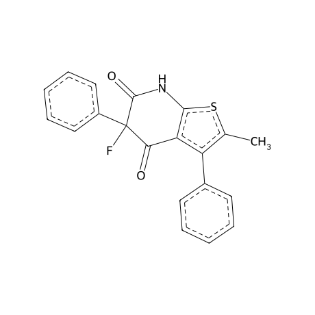 Cc1sc2c(c1-c1ccccc1)C(=O)C(F)(c1ccccc1)C(=O)N2